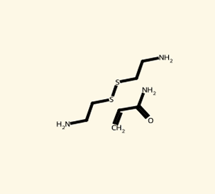 C=CC(N)=O.NCCSSCCN